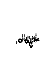 CC(C)CC(c1ccc(Nc2ccc(F)cc2)c(C=N)c1)C(C)(C)CNS(=O)(=O)NC(C)(C)C